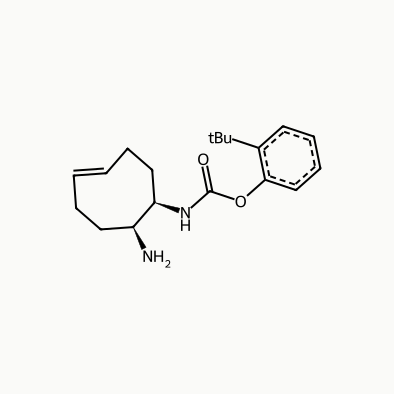 CC(C)(C)c1ccccc1OC(=O)N[C@@H]1CC/C=C/CC[C@@H]1N